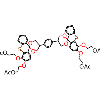 CC(=O)OCCOc1ccc2c(c1OCCOC(C)=O)Sc1ccccc1C21OCC(c2ccc(C3COC4(OC3)c3ccccc3Sc3c4ccc(OCCOC(C)=O)c3OCCOC(C)=O)cc2)CO1